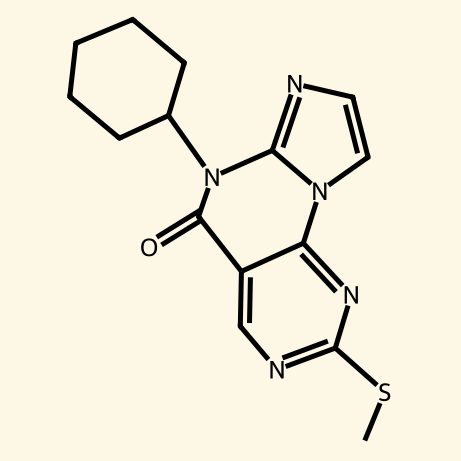 CSc1ncc2c(=O)n(C3CCCCC3)c3nccn3c2n1